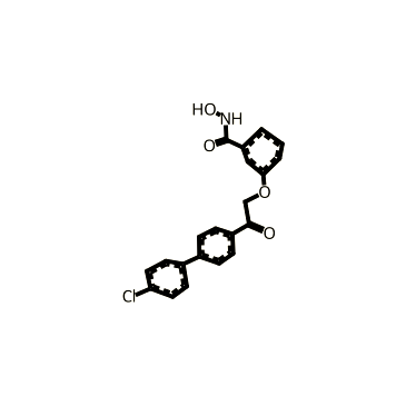 O=C(COc1cccc(C(=O)NO)c1)c1ccc(-c2ccc(Cl)cc2)cc1